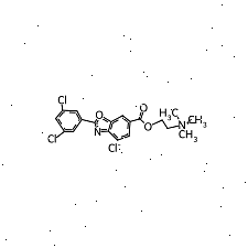 C[N+](C)(C)CCOC(=O)c1ccc2nc(-c3cc(Cl)cc(Cl)c3)oc2c1.[Cl-]